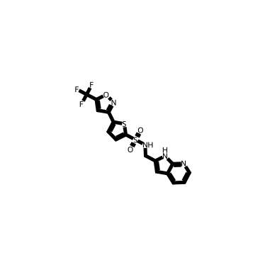 O=S(=O)(NCc1cc2cccnc2[nH]1)c1ccc(-c2cc(C(F)(F)F)on2)s1